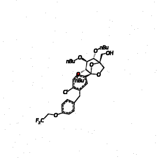 CCCCO[C@@H]1[C@@H](OCCCC)[C@@]2(c3ccc(Cl)c(Cc4ccc(OCC(F)(F)F)cc4)c3)OC[C@](CO)(O2)[C@H]1OCCCC